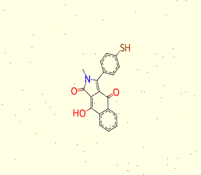 CN1C(=O)C2=C(O)c3ccccc3C(=O)C2=C1c1ccc(S)cc1